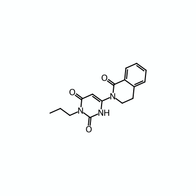 CCCn1c(=O)cc(N2CCc3ccccc3C2=O)[nH]c1=O